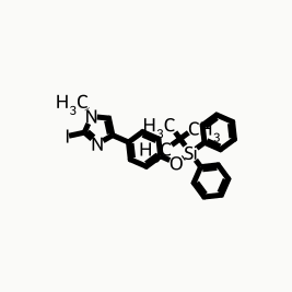 Cn1cc(-c2ccc(O[Si](c3ccccc3)(c3ccccc3)C(C)(C)C)cc2)nc1I